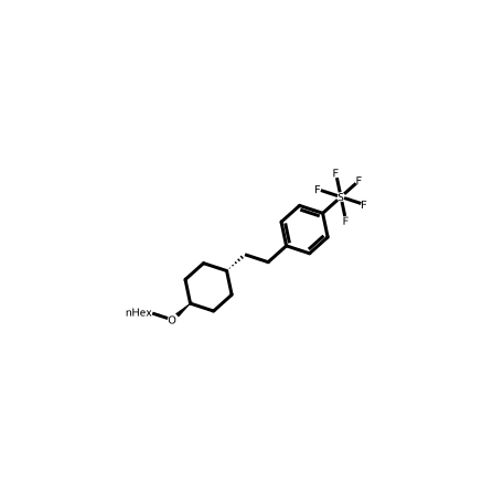 CCCCCCO[C@H]1CC[C@H](CCc2ccc(S(F)(F)(F)(F)F)cc2)CC1